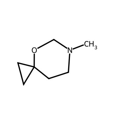 CN1CCC2(CC2)OC1